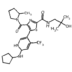 CC1CCCN1C(=O)c1nc(C(=O)NCC(C)(C)O)sc1C1=CNC(NC2CCCC2)C=C1C(F)(F)F